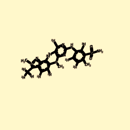 [2H]c1nc(Nc2c([2H])c([2H])c(C)c(S(N)(=O)=O)c2[2H])nc(N(C)c2c([2H])c([2H])c3c(C([2H])([2H])[2H])n(C)nc3c2[2H])c1[2H]